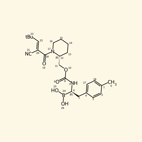 Cc1ccc(C[C@H](NC(=O)OC[C@H]2CCCCN2C(=O)C(C#N)=CC(C)(C)C)B(O)O)cc1